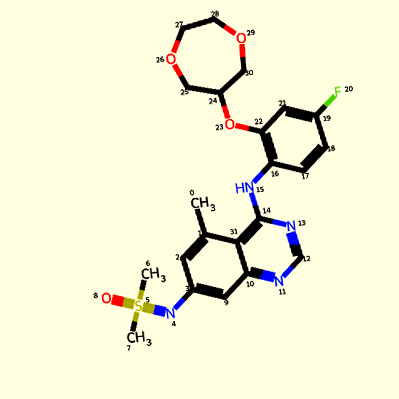 Cc1cc(N=S(C)(C)=O)cc2ncnc(Nc3ccc(F)cc3OC3COCCOC3)c12